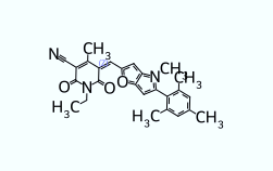 CCN1C(=O)C(C#N)=C(C)/C(=C/c2cc3c(cc(-c4c(C)cc(C)cc4C)n3C)o2)C1=O